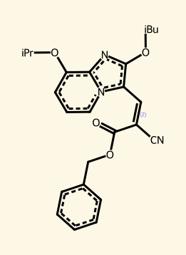 CCC(C)Oc1nc2c(OC(C)C)cccn2c1/C=C(/C#N)C(=O)OCc1ccccc1